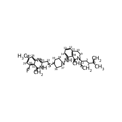 C=CC(CCC(=C)C)N1CCc2cccc(NN3CCC(SCC4=Nc5cc(C)cc(F)c5C(=C)N4)CC3)c2C1=C